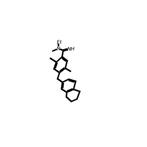 CCN(C)C(=N)c1cc(C)c(Cc2ccc3c(c2)CCCC3)cc1C